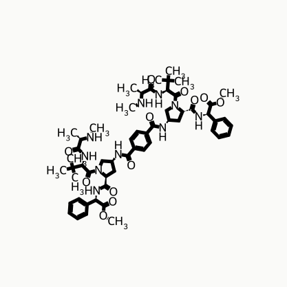 CN[C@@H](C)C(=O)N[C@H](C(=O)N1C[C@@H](NC(=O)c2ccc(C(=O)N[C@H]3C[C@@H](C(=O)N[C@H](C(=O)OC)c4ccccc4)N(C(=O)[C@@H](NC(=O)[C@H](C)NC)C(C)(C)C)C3)cc2)C[C@H]1C(=O)N[C@H](C(=O)OC)c1ccccc1)C(C)(C)C